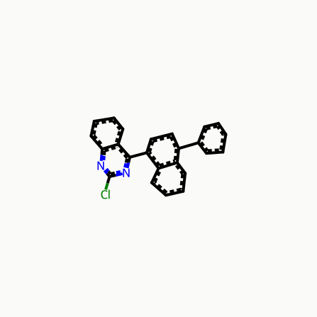 Clc1nc(-c2ccc(-c3ccccc3)c3ccccc23)c2ccccc2n1